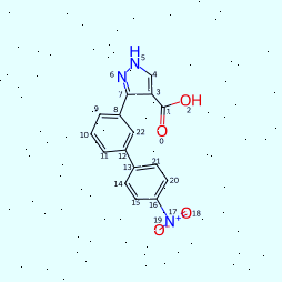 O=C(O)c1c[nH]nc1-c1cccc(-c2ccc([N+](=O)[O-])cc2)c1